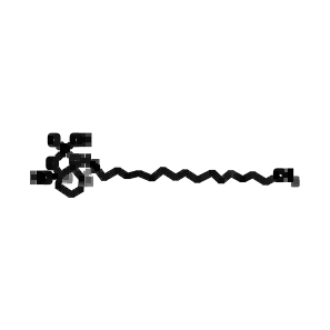 CCCCCCCCCCCCCCCCS[C@@H]1CCC[C@](O)(OP(=O)(O)O)C1